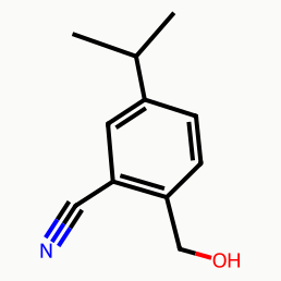 CC(C)c1ccc(CO)c(C#N)c1